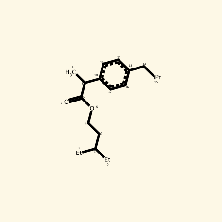 CCC(CC)CCOC(=O)C(C)c1ccc(CC(C)C)cc1